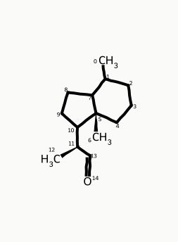 CC1CCC[C@@]2(C)C1CCC2[C@H](C)C=O